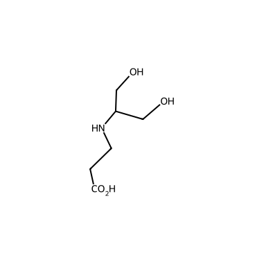 O=C(O)CCNC(CO)CO